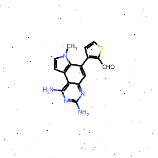 Cn1ccc2c3c(N)nc(N)nc3cc(-c3ccsc3C=O)c21